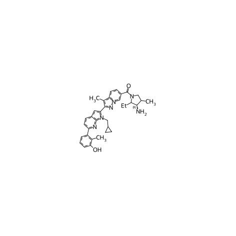 CCC1[C@H](N)C(C)CN1C(=O)c1ccc2c(C)c(-c3cc4ccc(-c5cccc(O)c5C)nc4n3CC3CC3)nn2c1